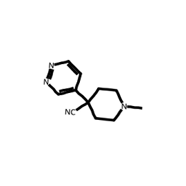 CN1CCC(C#N)(c2ccnnc2)CC1